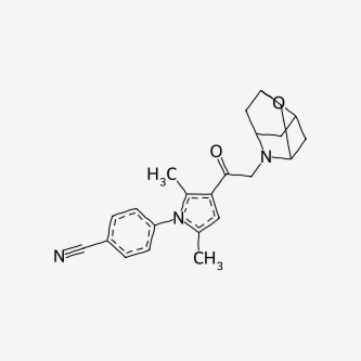 Cc1cc(C(=O)CN2C3CC4CC2CC(C3)O4)c(C)n1-c1ccc(C#N)cc1